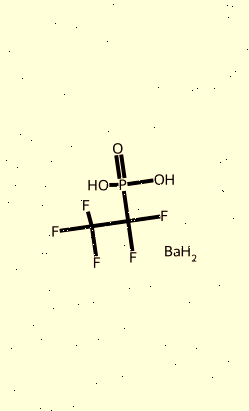 O=P(O)(O)C(F)(F)C(F)(F)F.[BaH2]